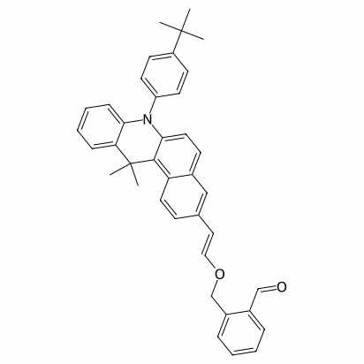 CC(C)(C)c1ccc(N2c3ccccc3C(C)(C)c3c2ccc2cc(C=COCc4ccccc4C=O)ccc32)cc1